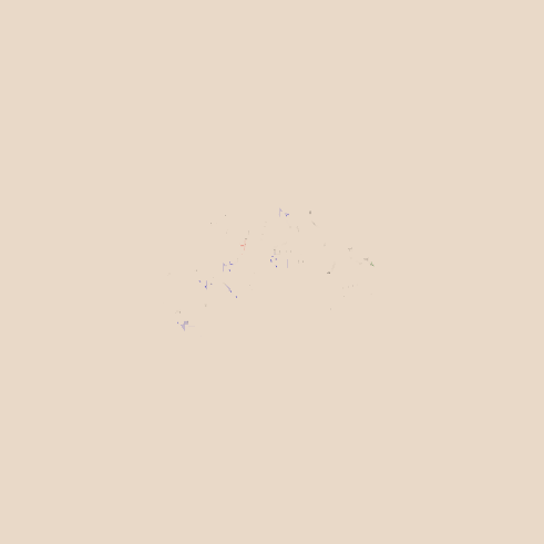 Cc1c(F)cc(-c2ccc3ncc(C(=O)C4CC4)c(Nc4cnc(N5CCCC(N)C5)nc4)c3c2)cc1Cl